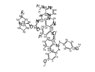 COc1ccc(CN(Cc2ccc(OC)cc2)c2c(F)c(-c3c(F)c4c5c(c3Cl)=NCNC=5C([C@H](C)c3cccnc3N)N=C(OC[C@@]35CCCN3C[C@H](F)C5)O4)cc(C)c2I)cc1